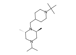 CC(C)N1C[C@H](C)N(CC2CCN(C(C)(C)C)CC2)[C@@H](C)C1